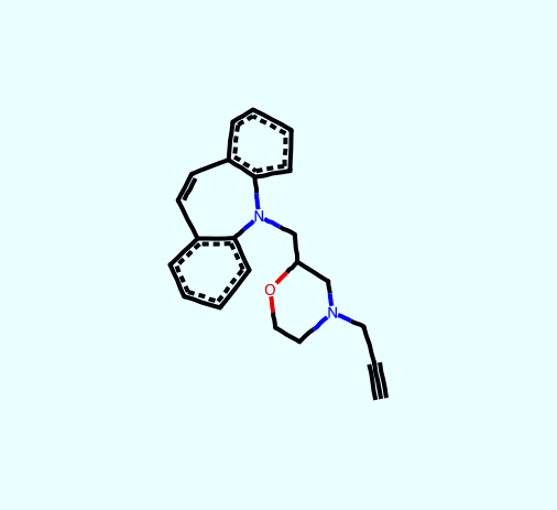 C#CCN1CCOC(CN2c3ccccc3C=Cc3ccccc32)C1